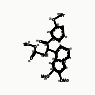 COc1cc2cncc(C(NC(=O)OC(C)(C)C)C(=O)c3cccc(OC(C)C)c3)c2cc1OC